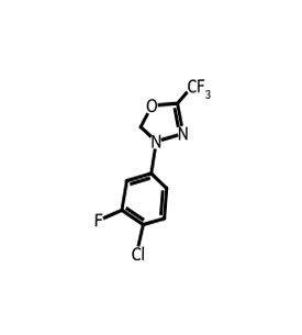 Fc1cc(N2COC(C(F)(F)F)=N2)ccc1Cl